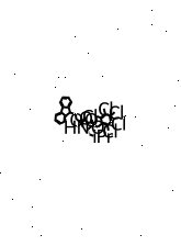 CC(C)C[C@H](NC(=O)OCC1c2ccccc2-c2ccccc21)C(=O)Oc1c(Cl)c(Cl)c(Cl)c(Cl)c1Cl